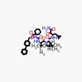 CC(C)(C)[C@H](NC(=O)NC1(C(=O)OCc2ccc(-c3ccccc3)cc2)CCCCC1)C(=O)N1C[C@H]2[C@@H]([C@H]1C(=O)NC(CC1CC1)C(=O)C(N)=O)C2(C)C